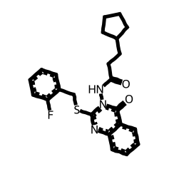 O=C(CCC1CCCC1)Nn1c(SCc2ccccc2F)nc2ccccc2c1=O